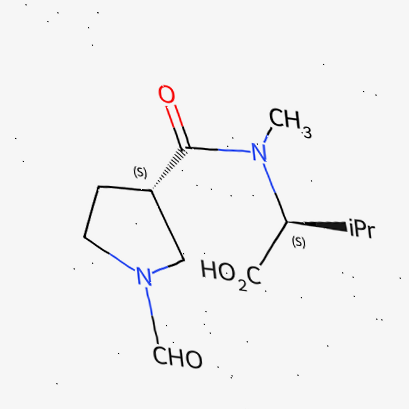 CC(C)[C@@H](C(=O)O)N(C)C(=O)[C@H]1CCN(C=O)C1